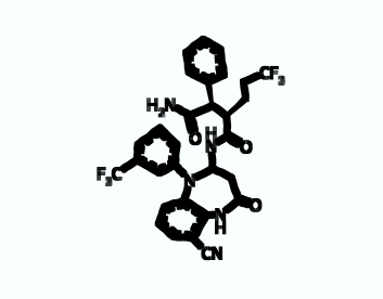 N#Cc1cccc2c1NC(=O)CC(NC(=O)[C@H](CCC(F)(F)F)[C@@H](C(N)=O)c1ccccc1)N2c1cccc(C(F)(F)F)c1